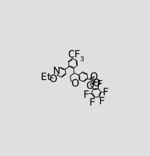 CCOc1ccc(-c2cc(C(F)(F)F)ccc2C2CCOc3cc(S(=O)(=O)Oc4c(F)c(F)c(F)c(F)c4F)ccc32)cn1